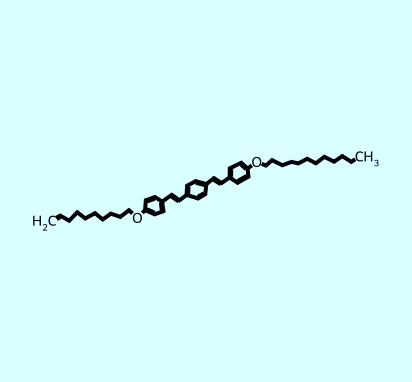 C=CCCCCCCCCOc1ccc(C=Cc2ccc(C=Cc3ccc(OCCCCCCCCCCCC)cc3)cc2)cc1